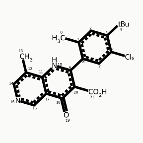 Cc1cc(C(C)(C)C)c(Cl)cc1-c1[nH]c2c(C)cncc2c(=O)c1C(=O)O